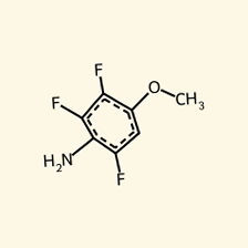 COc1cc(F)c(N)c(F)c1F